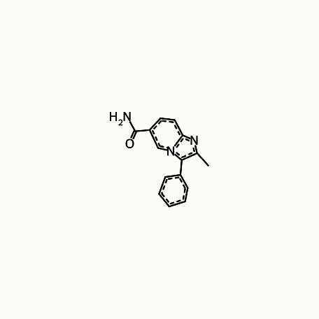 Cc1nc2ccc(C(N)=O)cn2c1-c1ccccc1